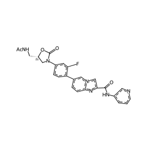 CC(=O)NC[C@H]1CN(c2ccc(-c3ccc4nc(C(=O)Nc5cccnc5)cn4c3)c(F)c2)C(=O)O1